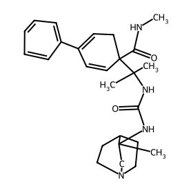 CNC(=O)C1(C(C)(C)NC(=O)NC2(C)CN3CCC2CC3)C=CC(c2ccccc2)=CC1